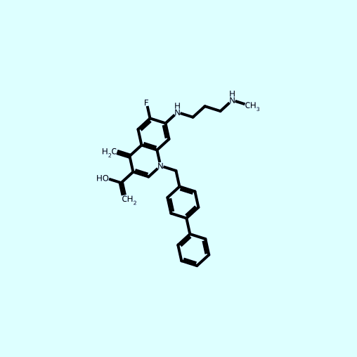 C=C(O)C1=CN(Cc2ccc(-c3ccccc3)cc2)c2cc(NCCCNC)c(F)cc2C1=C